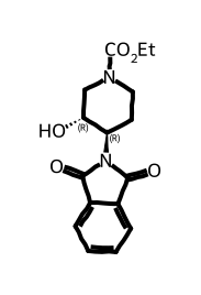 CCOC(=O)N1CC[C@@H](N2C(=O)c3ccccc3C2=O)[C@H](O)C1